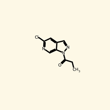 CCC(=O)n1ncc2cc(Cl)ncc21